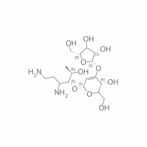 C[C@@H](O)[C@H](O[C@@H]1C=C(O[C@@H]2O[C@H](CO)C(O)[C@@H]2O)[C@H](O)C(CO)O1)C(N)CCN